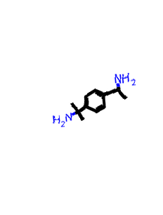 CC(N)c1ccc(C(C)(C)N)cc1